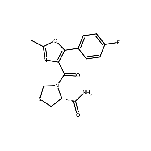 Cc1nc(C(=O)N2CSC[C@H]2C(N)=O)c(-c2ccc(F)cc2)o1